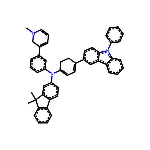 CN1C=CC=C(c2cccc(N(C3=CC=C(c4ccc5c(c4)c4ccccc4n5-c4ccccc4)CC3)c3ccc4c(c3)C(C)(C)c3ccccc3-4)c2)C1